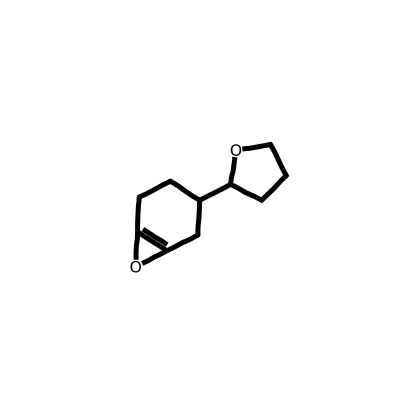 C1COC(C2CCC3=C(C2)O3)C1